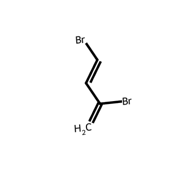 C=C(Br)/C=C/Br